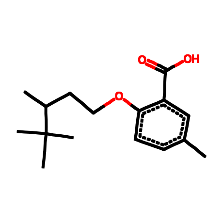 Cc1ccc(OCCC(C)C(C)(C)C)c(C(=O)O)c1